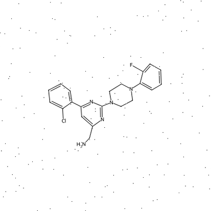 NCc1cc(-c2ccccc2Cl)nc(N2CCN(c3ccccc3F)CC2)n1